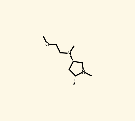 COCCN(C)[C@@H]1C[C@@H](C)N(C)C1